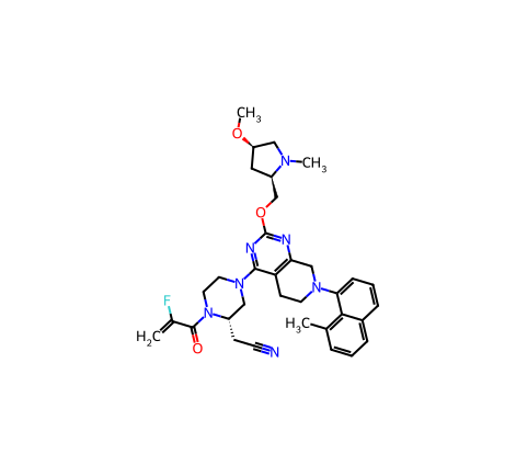 C=C(F)C(=O)N1CCN(c2nc(OC[C@H]3C[C@@H](OC)CN3C)nc3c2CCN(c2cccc4cccc(C)c24)C3)C[C@@H]1CC#N